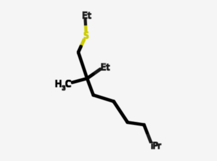 CCSCC(C)(CC)CCCCC(C)C